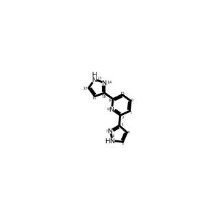 c1cc(-c2cc[nH]n2)nc(-c2cc[nH]n2)c1